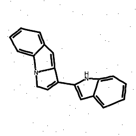 C1=C(c2cc3ccccc3[nH]2)c2cc3ccccc3n2C1